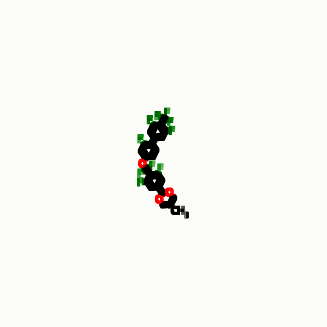 CC1COC(c2cc(F)c(C(F)(F)Oc3ccc(-c4cc(F)c(C(F)(F)F)c(F)c4)c(F)c3)c(F)c2)OC1